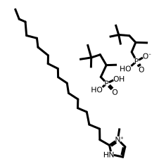 CC(CC(C)(C)C)CP(=O)(O)O.CC(CC(C)(C)C)CP(=O)([O-])O.CCCCCCCCCCCCCCCCCCc1[nH]cc[n+]1C